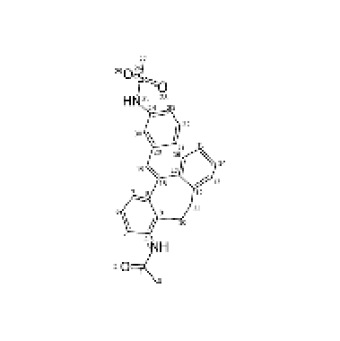 CC(=O)Nc1cccc2c1CCc1ccccc1C2=Cc1cccc(NS(C)(=O)=O)c1